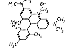 COc1cc(N(C)C)cc2c1c(-c1c(C)cc(C)cc1C)c1ccc(N(C)C)cc1[n+]2C.[Br-]